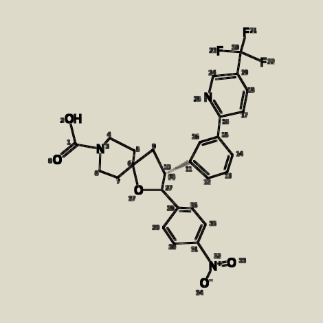 O=C(O)N1CCC2(CC1)C[C@H](c1cccc(-c3ccc(C(F)(F)F)cn3)c1)C(c1ccc([N+](=O)[O-])cc1)O2